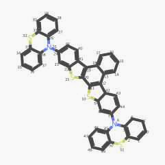 C1=CC2=C(CC1)N(C1=CC3Sc4c(c5ccccc5c5c4sc4cc(N6c7ccccc7Sc7ccccc76)ccc45)C3C=C1)c1ccccc1S2